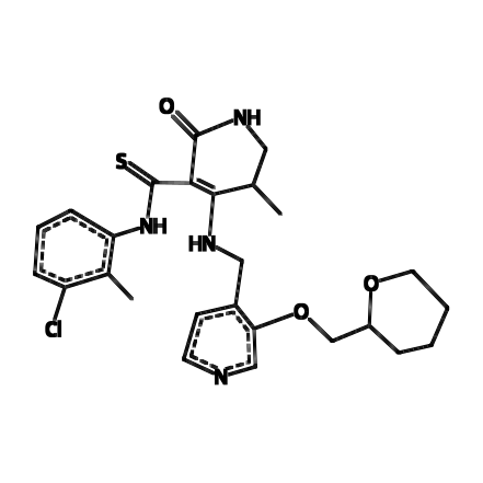 Cc1c(Cl)cccc1NC(=S)C1=C(NCc2ccncc2OCC2CCCCO2)C(C)CNC1=O